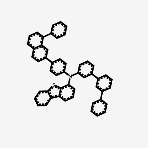 c1ccc(-c2cccc(-c3cccc(N(c4ccc(-c5ccc6cccc(-c7ccccc7)c6c5)cc4)c4cccc5c4sc4ccccc45)c3)c2)cc1